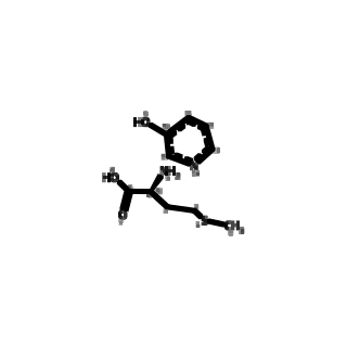 CSCC[C@H](N)C(=O)O.Oc1cccnc1